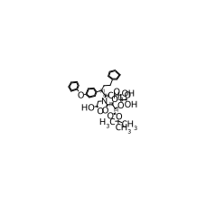 C[C@H]([C@H](CCc1ccccc1)c1ccc(Oc2ccccc2)cc1)N(CC(=O)O)C(=O)[C@H]1OC(C(=O)O)(C(=O)O)O[C@@H]1C(=O)OC(C)(C)C